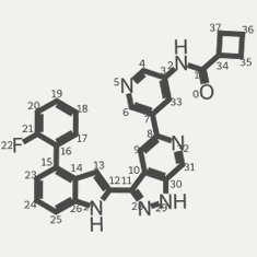 O=C(Nc1cncc(-c2cc3c(-c4cc5c(-c6ccccc6F)cccc5[nH]4)n[nH]c3cn2)c1)C1CCC1